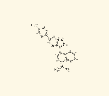 Cc1ccc(-c2cnc3c(-c4ccc(C(C)O)c5ccccc45)cnn3c2)cc1